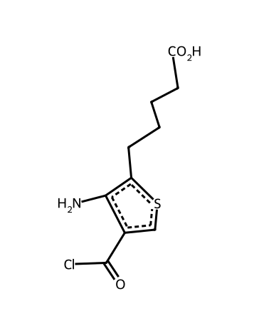 Nc1c(C(=O)Cl)csc1CCCCC(=O)O